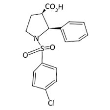 O=C(O)[C@@H]1CCN(S(=O)(=O)c2ccc(Cl)cc2)[C@@H]1c1ccccc1